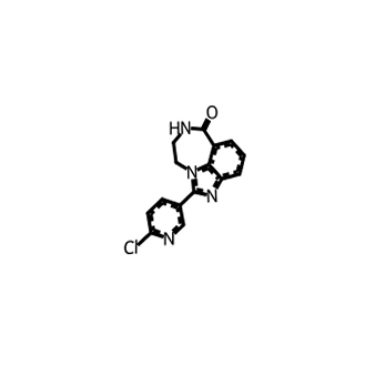 O=C1NCCn2c(-c3ccc(Cl)nc3)nc3cccc1c32